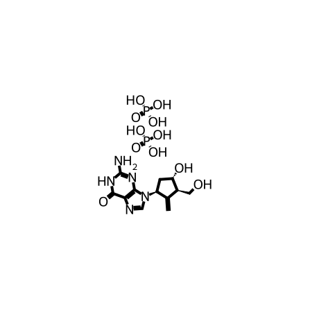 C=C1[C@H](CO)[C@@H](O)C[C@@H]1n1cnc2c(=O)[nH]c(N)nc21.O=P(O)(O)O.O=P(O)(O)O